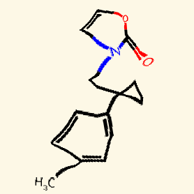 Cc1ccc(C2(Cn3ccoc3=O)CC2)cc1